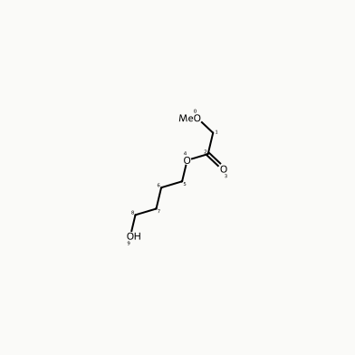 COCC(=O)OCCCCO